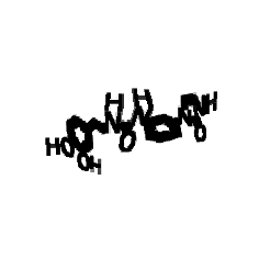 O=C(NCCc1ccc(O)c(O)c1)Nc1cccc(N2CCNC2=O)c1